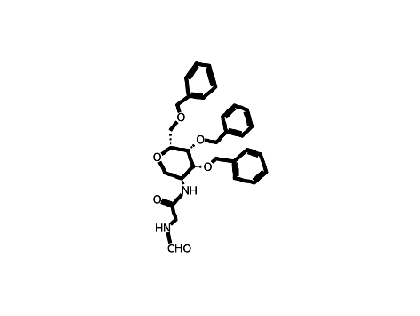 O=CNCC(=O)N[C@@H]1CO[C@H](COCc2ccccc2)[C@H](OCc2ccccc2)[C@@H]1OCc1ccccc1